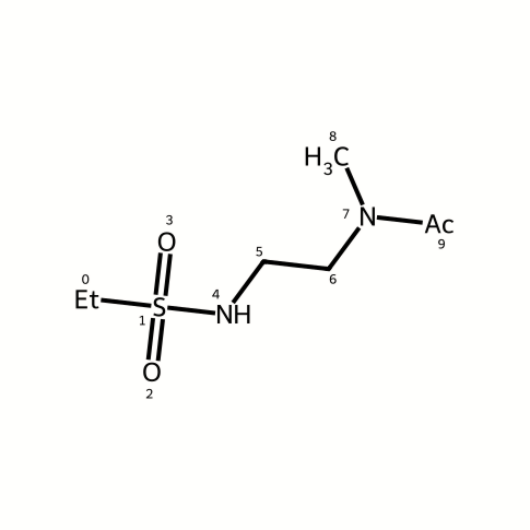 CCS(=O)(=O)NCCN(C)C(C)=O